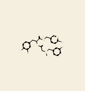 CN(CC(=O)NC(Cc1ccc(F)c(F)c1)C(=O)NCc1ccc(N)nc1)Cc1cccc(Cl)c1